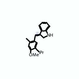 COc1cc(C)c(/C=C2\CNc3ccccc32)cc1C(C)C